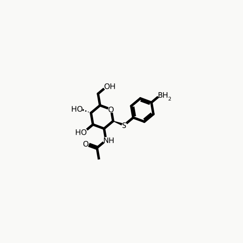 Bc1ccc(S[C@@H]2OC(CO)[C@@H](O)C(O)C2NC(C)=O)cc1